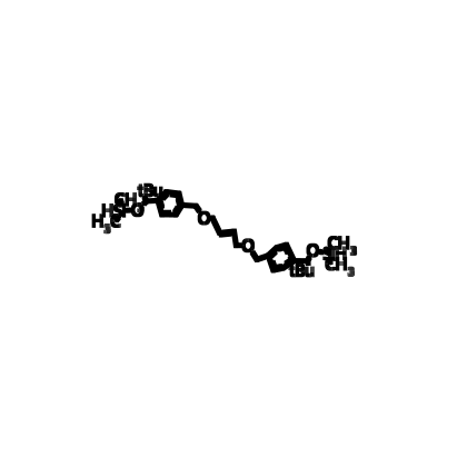 C[SiH](C)OC(c1ccc(COCC=CCOCc2ccc(C(O[SiH](C)C)C(C)(C)C)cc2)cc1)C(C)(C)C